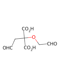 O=CCOC(CC=O)(C(=O)O)C(=O)O